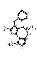 Cc1sc2c(c1Cc1ccccc1)CN(C)Cc1nnc(C)n1-2